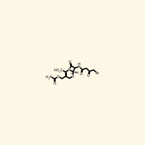 NC(=O)OCC1=C(C(=O)O)N2C(=O)C(NC(=O)CC(=O)CBr)[C@@H]2SC1